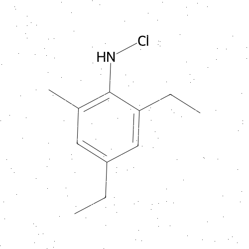 CCc1cc(C)c(NCl)c(CC)c1